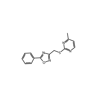 Cc1ccnc(SCc2noc(-c3ccccc3)n2)n1